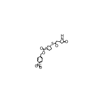 O=C1CC(CC(=O)S[C@H]2CCN(C(=O)OCc3ccc([N+](=O)[O-])cc3)C2)N1